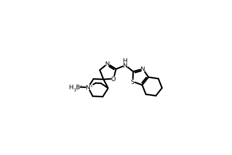 [BH3-][N+]12CCC(CC1)C1(CN=C(Nc3nc4c(s3)CCCC4)O1)C2